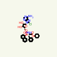 Nc1ncnc2c1nc(Cl)n2[C@@H]1O[C@H](COP(=O)(N[C@@H](Cc2ccccc2)C(=O)OC2CCCCC2)Oc2cccc3ccccc23)[C@H](O)[C@@H]1O